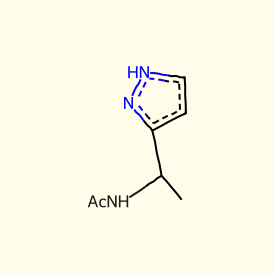 CC(=O)NC(C)c1cc[nH]n1